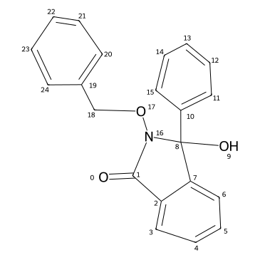 O=C1c2ccccc2C(O)(c2ccccc2)N1OCc1ccccc1